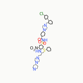 CN1CCC(N2CCN(CC[C@H](CSc3ccccc3)Nc3ccc(S(=O)(=O)NC(=O)c4ccc(N5CCN(Cc6ccccc6-c6ccc(Cl)cc6)CC5)cc4)cc3[N+](=O)[O-])CC2)CC1